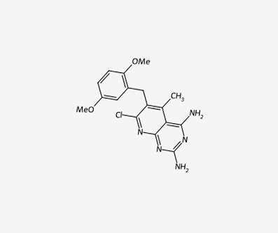 COc1ccc(OC)c(Cc2c(Cl)nc3nc(N)nc(N)c3c2C)c1